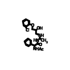 CC(=O)NC(C(=O)NC(C)NCC(O)COc1ccccc1Cl)c1ccccc1